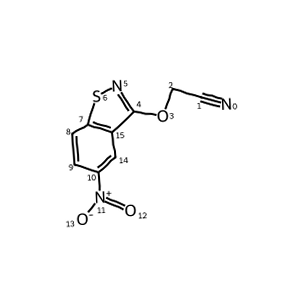 N#CCOc1nsc2ccc([N+](=O)[O-])cc12